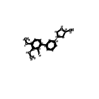 COc1ccc(-c2cccc([C@@H]3COB(O)C3)c2)c(F)c1OC